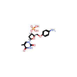 Cc1cn([C@H]2C[C@H](OP(=O)(O)O)[C@@H](COc3ccc(N)cc3)O2)c(=O)[nH]c1=O